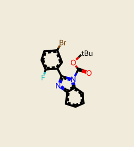 CC(C)(C)OC(=O)n1c(-c2cc(Br)ccc2F)nc2ccccc21